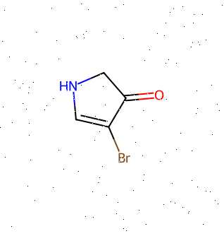 O=C1CNC=C1Br